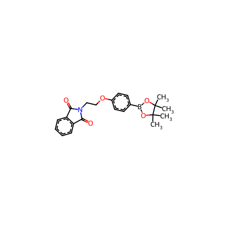 CC1(C)OB(c2ccc(OCCN3C(=O)c4ccccc4C3=O)cc2)OC1(C)C